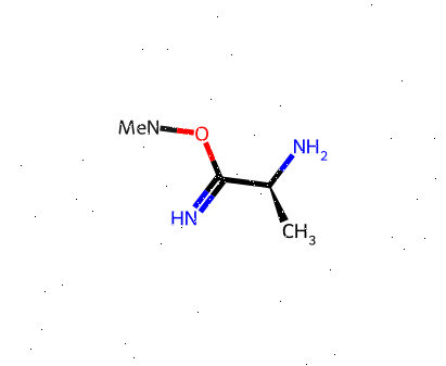 CNOC(=N)[C@H](C)N